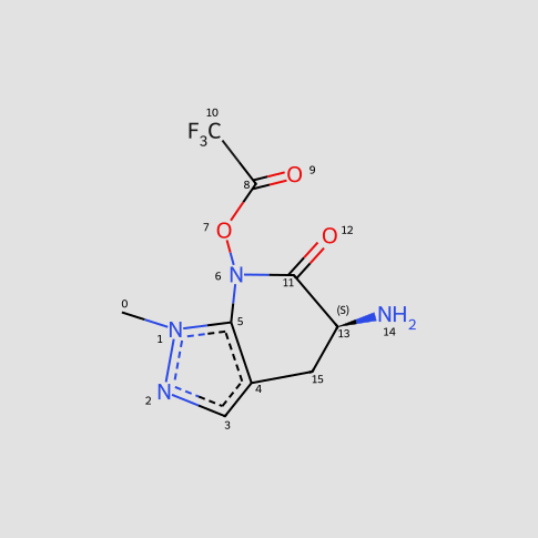 Cn1ncc2c1N(OC(=O)C(F)(F)F)C(=O)[C@@H](N)C2